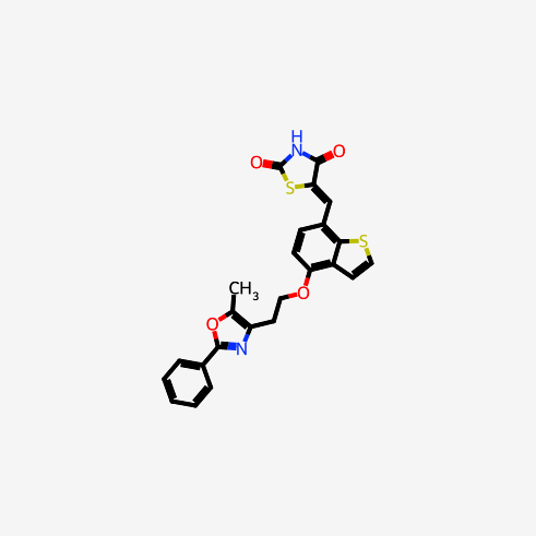 Cc1oc(-c2ccccc2)nc1CCOc1ccc(C=C2SC(=O)NC2=O)c2sccc12